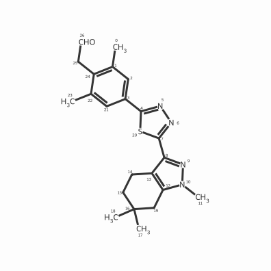 Cc1cc(-c2nnc(-c3nn(C)c4c3CCC(C)(C)C4)s2)cc(C)c1CC=O